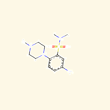 CCN1CCN(c2ccc(N)cc2S(=O)(=O)N(C)C)CC1